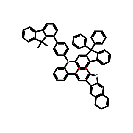 CC1(C)c2ccccc2-c2cccc(-c3ccc(N(c4ccc5c(c4)C(c4ccccc4)(c4ccccc4)c4ccccc4-5)c4ccccc4-c4ccc5oc6cc7c(cc6c5c4)CCC=C7)cc3)c21